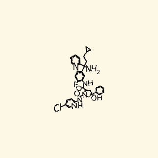 NC(CCC1CC1)(c1ccc(F)c(NC(=O)[C@H]2C[C@](O)(c3ccccc3)CN2C(=O)Nc2ccc(Cl)cn2)c1)c1ccccn1